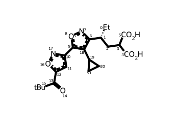 CC[C@H](CC(C(=O)O)C(=O)O)c1noc(-c2cc(C(=O)C(C)(C)C)on2)c1C1CC1